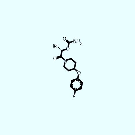 CC(C)[C@H](OC(N)=O)C(=O)N1CCC(Oc2ccc(F)cc2)CC1